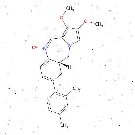 COc1cn2c(c1OC)C=[N+]([O-])C1=CC=C(c3ccc(C)cc3C)C[C@H]1C2